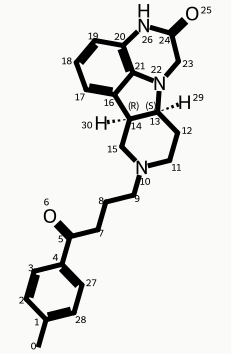 Cc1ccc(C(=O)CCCN2CC[C@H]3[C@@H](C2)c2cccc4c2N3CC(=O)N4)cc1